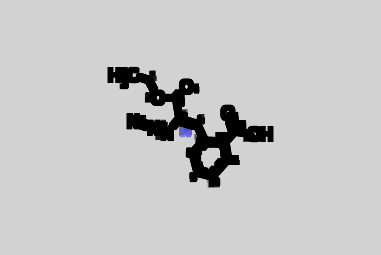 CCOC(=O)/C(=C/c1ccccc1C(=O)O)N=[N+]=[N-]